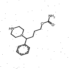 NC(=O)OCCCC(c1ccccc1)N1CCNCC1